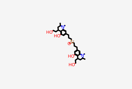 CC1CC(CCO)c2c(O)cc(CCC[S+]([O-])CCCc3cc(O)c4c(c3)N(C)C(C)CC4CCO)cc2N1C